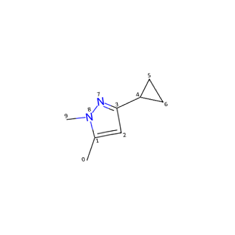 Cc1cc(C2CC2)nn1C